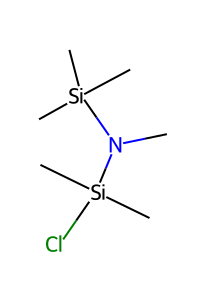 CN([Si](C)(C)C)[Si](C)(C)Cl